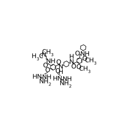 COc1cc(OC)c(C(=O)N[C@H]2CC[C@H](NC(=O)c3cc(C(=O)NCCN(C)C)c(OCCNC(=N)N)cc3OCCNC(=N)N)CC2)cc1C(=O)NC1CCCCC1